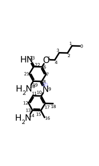 CCCCCOC1=C/C(=N/c2ccc(N)c(C)c2C)C(N)=CC1=N